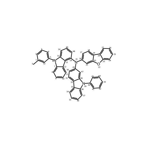 Cc1cccc(-n2c3ccccc3c3c(N(c4ccc5c(c4)oc4ccccc45)c4ccc5c6ccccc6n(-c6ccccc6)c5c4)cccc32)c1